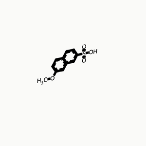 COc1ccc2ccc(S(=O)(=O)O)cc2c1